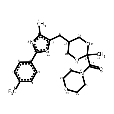 Cc1nc(-c2ccc(C(F)(F)F)cc2)sc1CC1COC(C)(C(=O)N2CCOCC2)OC1